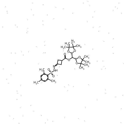 Cc1cc(C)c(S(=O)(=O)NN=C2CC(C(=O)OC(B3OC(C)(C)C(C)(C)O3)B3OC(C)(C)C(C)(C)O3)C2)c(C)c1